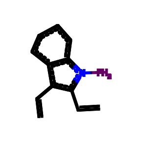 C=Cc1c(C=C)n(P)c2ccccc12